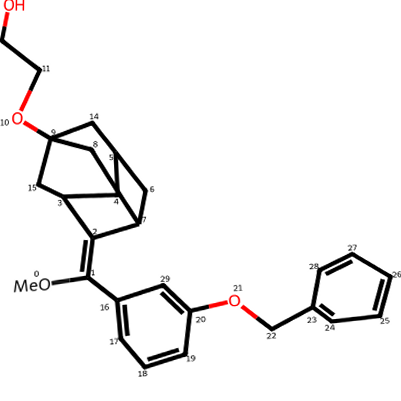 COC(=C1C2CC3CC1CC(OCCO)(C3)C2)c1cccc(OCc2ccccc2)c1